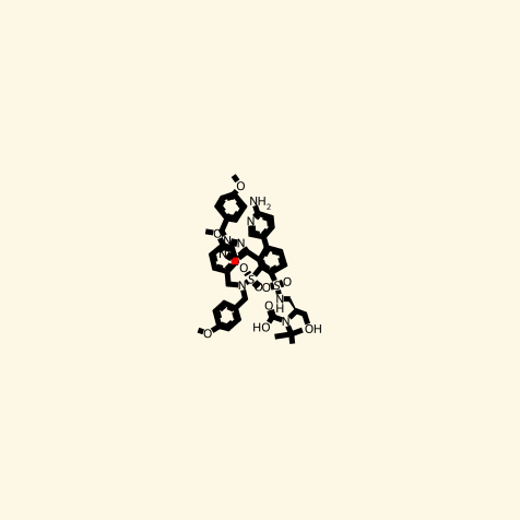 COc1ccc(CN(Cc2ccc(OC)cc2)S(=O)(=O)c2c(S(=O)(=O)NC[C@@H](CO)N(C(=O)O)C(C)(C)C)ccc(-c3ccc(N)nc3)c2-c2nnn(Cc3ccc(OC)cc3)n2)cc1